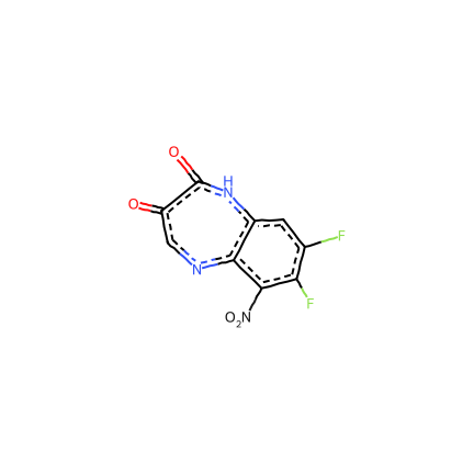 O=c1cnc2c([N+](=O)[O-])c(F)c(F)cc2[nH]c1=O